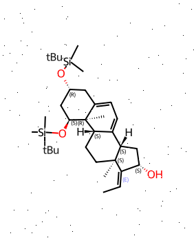 C/C=C1/[C@@H](O)C[C@H]2C3=CC=C4C[C@@H](O[Si](C)(C)C(C)(C)C)C[C@H](O[Si](C)(C)C(C)(C)C)[C@]4(C)[C@H]3CC[C@]12C